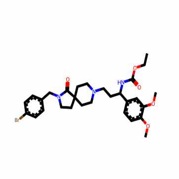 CCOC(=O)NC(CCN1CCC2(CC1)CCN(Cc1ccc(Br)cc1)C2=O)c1ccc(OC)c(OC)c1